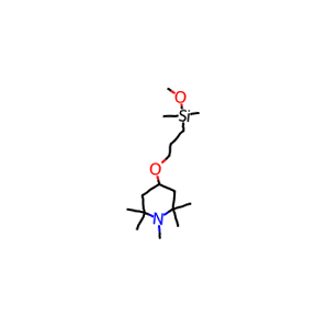 CO[Si](C)(C)CCCOC1CC(C)(C)N(C)C(C)(C)C1